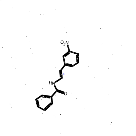 O=C(N/C=C/c1cccc([N+](=O)[O-])c1)c1ccccc1